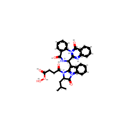 CC(C)CC1C(=O)n2c(c(C3NC(=O)c4ccccc4-n4c3nc3ccccc3c4=O)c3ccccc32)N1C(=O)CCC(=O)OO